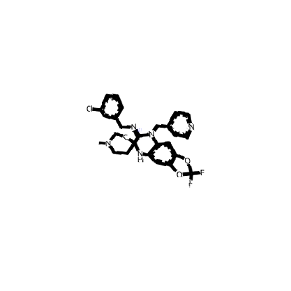 CN1CCC2(CC1)Nc1cc3c(cc1N(Cc1ccncc1)/C2=N/Cc1cccc(Cl)c1)OC(F)(F)O3